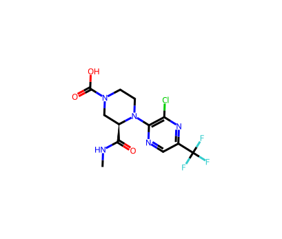 CNC(=O)[C@H]1CN(C(=O)O)CCN1c1ncc(C(F)(F)F)nc1Cl